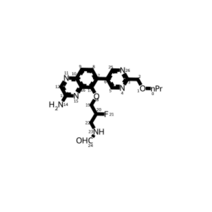 CCCOCc1ncc(-c2ccc3ncc(N)nc3c2OCC(F)CNC=O)cn1